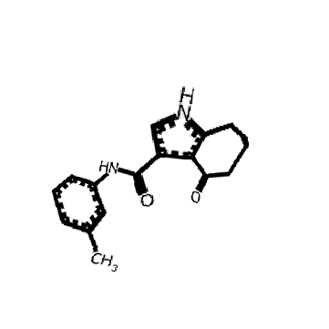 Cc1cccc(NC(=O)c2c[nH]c3c2C(=O)CCC3)c1